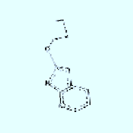 c1cnc2nn(OC3CCC3)cc2c1